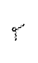 C=COCCSc1cccnc1SCCOC=C